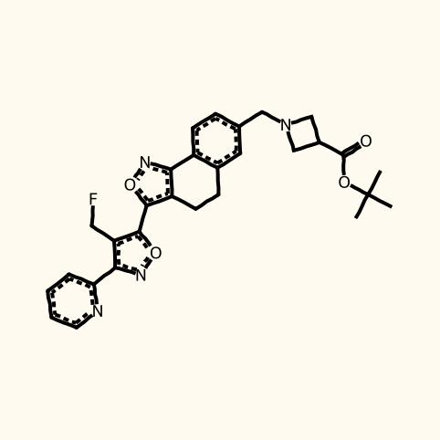 CC(C)(C)OC(=O)C1CN(Cc2ccc3c(c2)CCc2c-3noc2-c2onc(-c3ccccn3)c2CF)C1